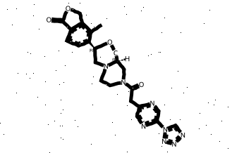 Cc1c([C@@H]2CN3CCN(C(=O)Cc4cnc(-n5cnnn5)cn4)C[C@@H]3CO2)ccc2c1COC2=O